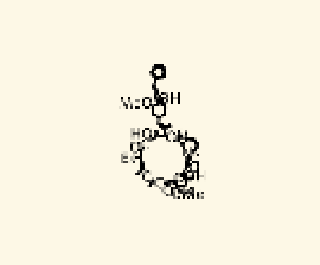 CCC1/C=C(\C)CC(C)CC(OC)C2OC(O)(C(=O)C(=O)N3CCCCC3C(=O)OC(C(C)=CC3CCC(O)(CC=Cc4ccccc4)C(OC)C3)C(C)C(O)CC1=O)C(C)CC2OC